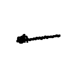 CCCCCCCCCCCCCCCCCCCCCCCCCC[SH](OC(=O)CC)OC(=O)CC